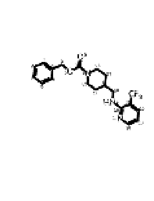 O=C(OCc1ccccc1)N1CCC(CNc2ncccc2C(F)(F)F)CC1